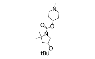 CN1CCC(OC(=O)N2CC(OC(C)(C)C)CC2(C)C)CC1